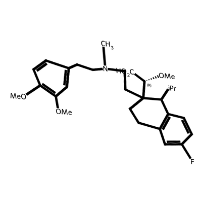 COc1ccc(CCN(C)CCC2([C@@H](OC)C(=O)O)CCc3cc(F)ccc3C2C(C)C)cc1OC